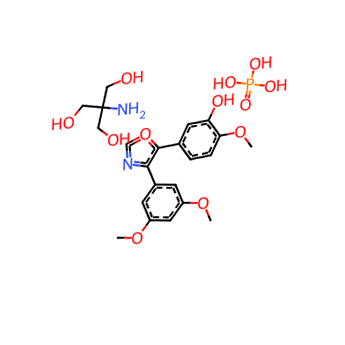 COc1cc(OC)cc(-c2ncoc2-c2ccc(OC)c(O)c2)c1.NC(CO)(CO)CO.O=P(O)(O)O